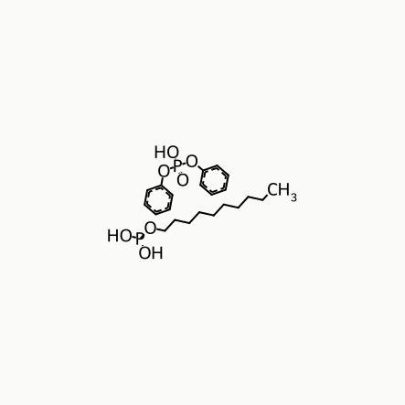 CCCCCCCCCCOP(O)O.O=P(O)(Oc1ccccc1)Oc1ccccc1